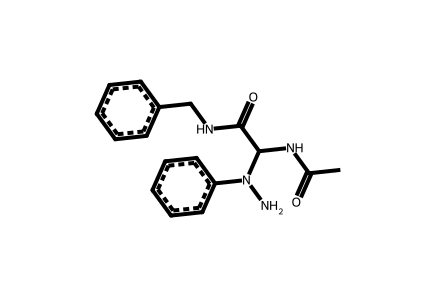 CC(=O)NC(C(=O)NCc1ccccc1)N(N)c1ccccc1